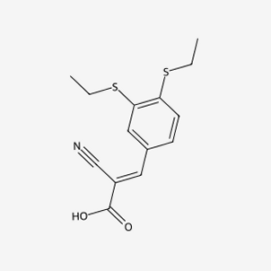 CCSc1ccc(/C=C(\C#N)C(=O)O)cc1SCC